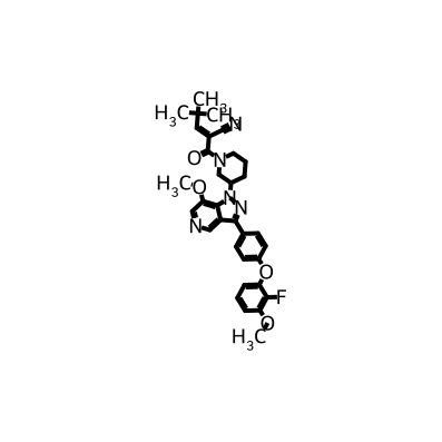 COc1cccc(Oc2ccc(-c3nn(C4CCCN(C(=O)/C(C#N)=C/C(C)(C)C)C4)c4c(OC)cncc34)cc2)c1F